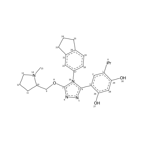 CC(C)c1cc(-c2nnc(OCC3CCCN3C)n2-c2ccc3c(c2)CCC3)c(O)cc1O